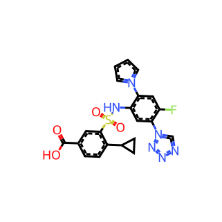 O=C(O)c1ccc(C2CC2)c(S(=O)(=O)Nc2cc(-n3cnnn3)c(F)cc2-n2cccc2)c1